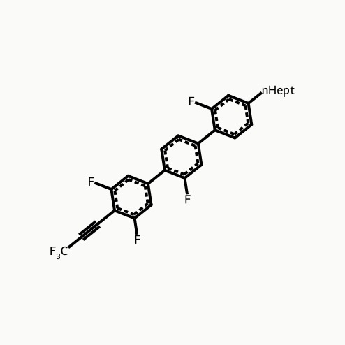 CCCCCCCc1ccc(-c2ccc(-c3cc(F)c(C#CC(F)(F)F)c(F)c3)c(F)c2)c(F)c1